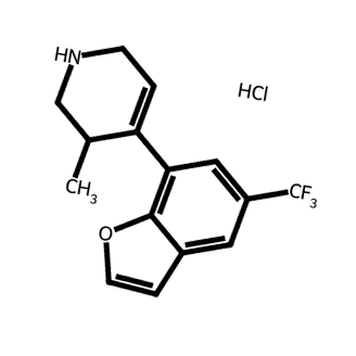 CC1CNCC=C1c1cc(C(F)(F)F)cc2ccoc12.Cl